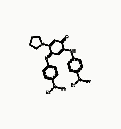 CCN(c1ccc(N=C2C=C(Nc3ccc(N(CC)C(C)C)cc3)C(=O)C=C2N2CCCC2)cc1)C(C)C